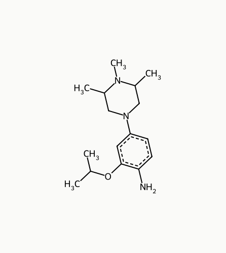 CC(C)Oc1cc(N2CC(C)N(C)C(C)C2)ccc1N